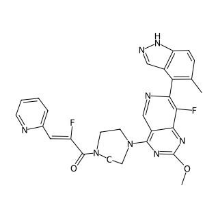 COc1nc(N2CCN(C(=O)/C(F)=C/c3ccccn3)CC2)c2cnc(-c3c(C)ccc4[nH]ncc34)c(F)c2n1